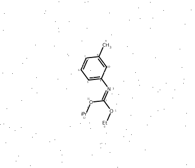 CCOC(=Nc1cccc(C)c1)OC(C)C